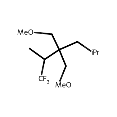 COCC(COC)(CC(C)C)C(C)C(F)(F)F